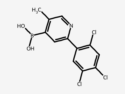 Cc1cnc(-c2cc(Cl)c(Cl)cc2Cl)cc1B(O)O